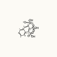 O=S(=O)(O)c1[c]c2ccccc2c(S(=O)(=O)O)c1S(=O)(=O)O